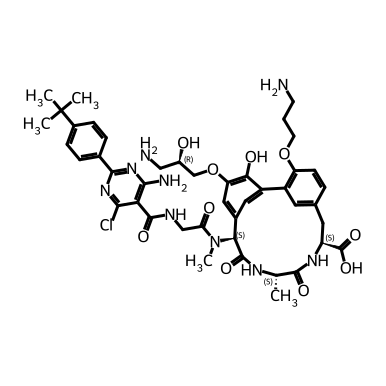 C[C@@H]1NC(=O)[C@@H](N(C)C(=O)CNC(=O)c2c(N)nc(-c3ccc(C(C)(C)C)cc3)nc2Cl)c2cc(OC[C@H](O)CN)c(O)c(c2)-c2cc(ccc2OCCCN)C[C@@H](C(=O)O)NC1=O